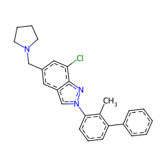 Cc1c(-c2ccccc2)cccc1-n1cc2cc(CN3CCCC3)cc(Cl)c2n1